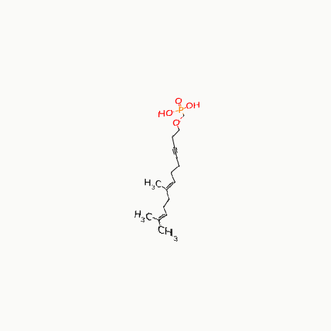 CC(C)=CCC/C(C)=C/CCC#CCCOCP(=O)(O)O